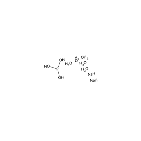 O.O.O.O.O.OP(O)O.[NaH].[NaH]